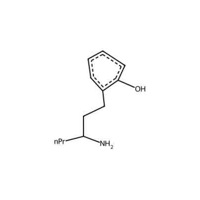 CCCC(N)CCc1ccccc1O